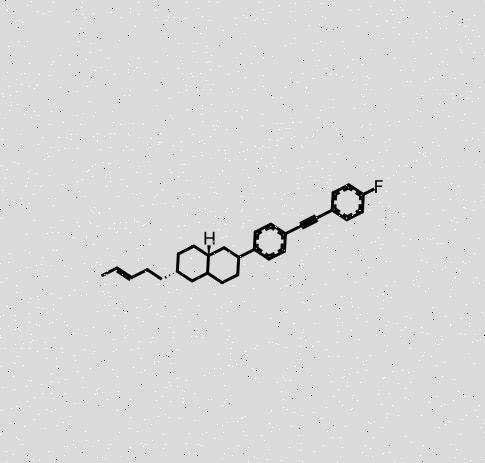 C/C=C/CC[C@@H]1CC[C@@H]2CC(c3ccc(C#Cc4ccc(F)cc4)cc3)CCC2C1